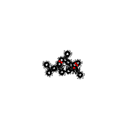 N#Cc1c(-c2ccc(-c3nc(-c4ccccc4)nc(-c4ccccc4)n3)c(-n3c4ccccc4c4cc5c(cc43)c3ccccc3n5-c3ccccc3)c2)cccc1-n1c2ccccc2c2cc3c(cc21)c1ccccc1n3-c1ccccc1